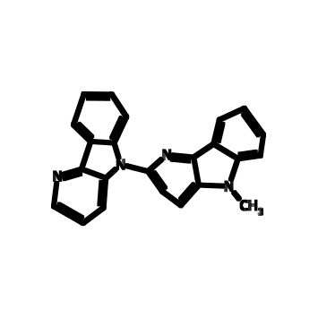 Cn1c2ccccc2c2nc(-n3c4ccccc4c4ncccc43)ccc21